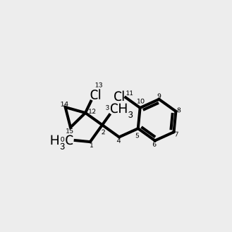 CCC(C)(Cc1ccccc1Cl)C1(Cl)CC1